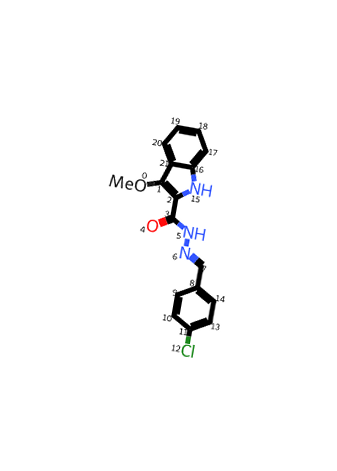 COc1c(C(=O)NN=Cc2ccc(Cl)cc2)[nH]c2ccccc12